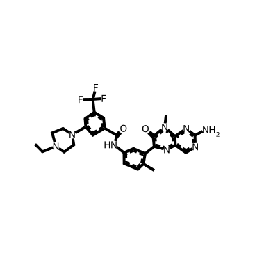 CCN1CCN(c2cc(C(=O)Nc3ccc(C)c(-c4nc5cnc(N)nc5n(C)c4=O)c3)cc(C(F)(F)F)c2)CC1